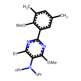 CCCN(CCC)c1c(CC)nc(-c2cc(C)cc(C)c2OC)nc1OC